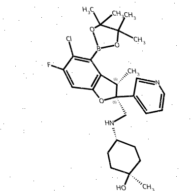 C[C@H]1c2c(cc(F)c(Cl)c2B2OC(C)(C)C(C)(C)O2)O[C@]1(CN[C@H]1CC[C@](C)(O)CC1)c1cccnc1